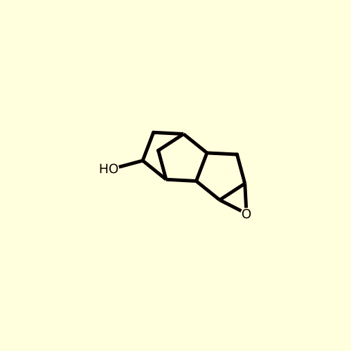 OC1CC2CC1C1C2CC2OC21